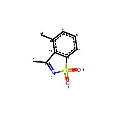 CC1=NS(=O)(=O)c2cccc(C)c21